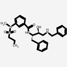 CCCS(=O)(=O)N(C)c1cccc(C(=O)N[C@@H](Cc2ccccc2)[C@@H](O)CNCc2ccccc2)c1